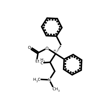 CCC(=O)O[C@@](Cc1ccccc1)(c1ccccc1)C(C)CN(C)C